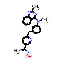 C=C(NO)c1ccc(Cc2cccc(N(C)c3nc(C)nc4ccccc34)c2)nc1